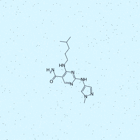 CC(C)CCCNc1nc(Nc2cnn(C)c2)ncc1C(N)=O